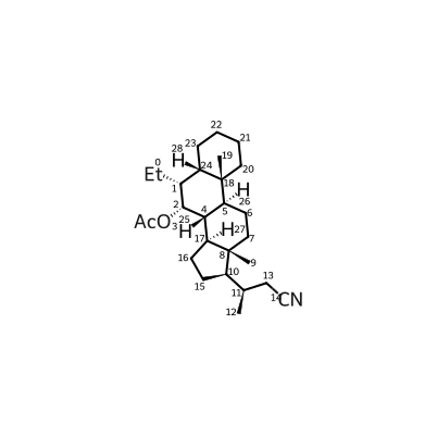 CC[C@H]1[C@@H](OC(C)=O)[C@@H]2[C@H](CC[C@]3(C)[C@@H]([C@H](C)CC#N)CC[C@@H]23)[C@@]2(C)CCCC[C@@H]12